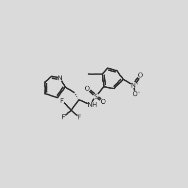 Cc1ccc([N+](=O)[O-])cc1S(=O)(=O)N[C@@H](Cc1ccccn1)C(F)(F)F